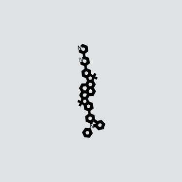 CC1(C)c2cc(-c3ccc(-c4cccnc4)nc3)ccc2-c2c1cc1ccc3c4c(cc5ccc2c1c53)C(C)(C)c1cc(-c2ccc3c(c2)c2ccccc2n3-c2ccccc2)ccc1-4